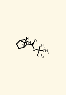 C[C@@H]1C2CCC1N(C(=O)OC(C)(C)C)C2